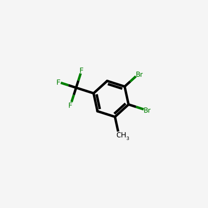 Cc1cc(C(F)(F)F)cc(Br)c1Br